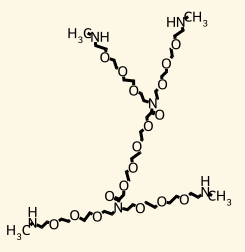 CNCCOCCOCCOCCN(CCOCCOCCOCCNC)C(=O)COCCOCCOCCOCC(=O)N(CCOCCOCCOCCNC)CCOCCOCCOCCNC